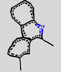 Cc1ccc2c(c1)c(C)nc1ccccc12